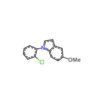 COc1ccc2c(ccn2-c2ccccc2Cl)c1